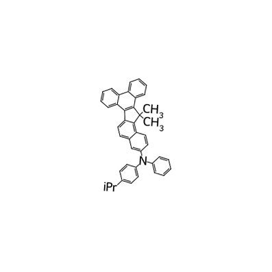 CC(C)c1ccc(N(c2ccccc2)c2ccc3c4c(ccc3c2)-c2c(c3ccccc3c3ccccc23)C4(C)C)cc1